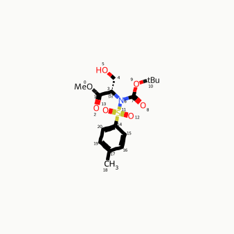 COC(=O)[C@H](CO)N(C(=O)OC(C)(C)C)S(=O)(=O)c1ccc(C)cc1